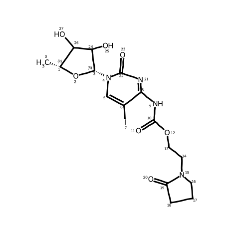 C[C@H]1O[C@@H](n2cc(I)c(NC(=O)OCCN3CCCC3=O)nc2=O)C(O)C1O